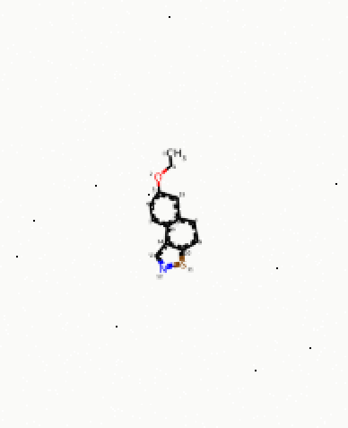 CCOc1ccc2c(ccc3sncc32)c1